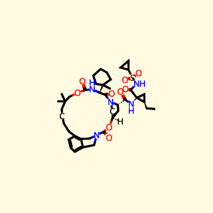 CC[C@@H]1C[C@]1(NC(=O)[C@@H]1C[C@@H]2CN1C(=O)[C@H](C1(C)CCCCC1)NC(=O)OCC(C)(C)CCCCc1cccc3c1CN(C3)C(=O)O2)C(=O)NS(=O)(=O)C1CC1